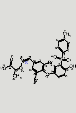 Cc1ccc(S(=O)(=O)c2cc(Oc3c(Br)cc(/C=N\OC(C)C(=O)O)cc3Br)ccc2O)cc1